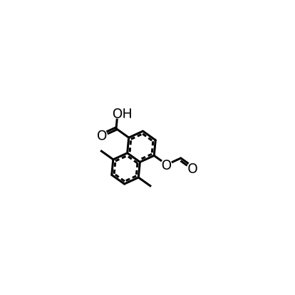 Cc1ccc(C)c2c(C(=O)O)ccc(OC=O)c12